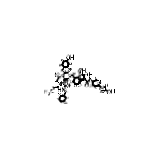 C=CCN1CC(=O)N2[C@@H](Cc3ccc(O)cc3)C(=O)N(Cc3cccc4c(C(=O)Nc5ccc(N6CC(O)C6)nc5)cn(C)c34)C[C@@H]2N1C(=O)NCc1ccccc1